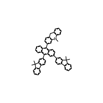 CN1c2ccccc2Cc2ccc(-c3c4ccccc4c(-c4ccc5c(c4)C(C)(C)c4ccccc4-5)c4cc(-c5ccc6c(c5)C(C)(C)c5ccccc5-6)ccc34)cc21